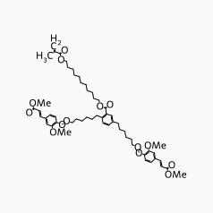 C=C(C)C(=O)OCCCCCCCCCCCOC(=O)c1cc(CCCCCCOOc2ccc(C=CC(=O)OC)cc2OC)ccc1CCCCCCOOc1ccc(C=CC(=O)OC)cc1OC